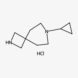 C1CC1N1CCC2(CC1)CNC2.Cl